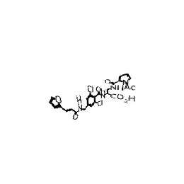 CC(=O)N1CCC[C@@H]1C(=O)NC[C@H](NC(=O)c1c(Cl)cc(CNC(=O)/C=C/c2ccco2)cc1Cl)C(=O)O